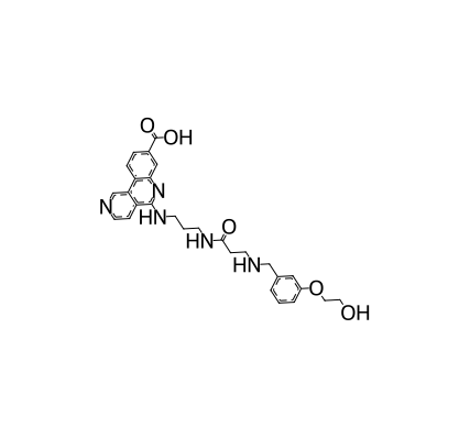 O=C(CCNCc1cccc(OCCO)c1)NCCCNc1nc2cc(C(=O)O)ccc2c2cnccc12